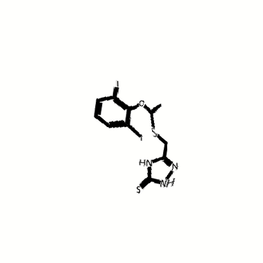 CC(Oc1c(I)cccc1I)SCc1n[nH]c(=S)[nH]1